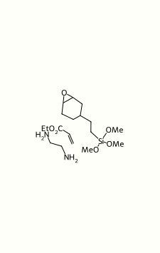 C=CC(=O)OCC.CO[Si](CCC1CCC2OC2C1)(OC)OC.NCCN